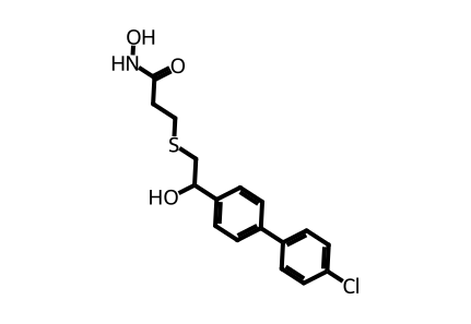 O=C(CCSCC(O)c1ccc(-c2ccc(Cl)cc2)cc1)NO